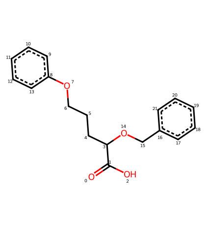 O=C(O)C(CCCOc1ccccc1)OCc1ccccc1